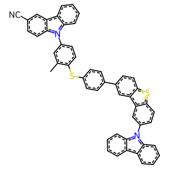 Cc1cc(-n2c3ccccc3c3cc(C#N)ccc32)ccc1Sc1ccc(-c2ccc3sc4ccc(-n5c6ccccc6c6ccccc65)cc4c3c2)cc1